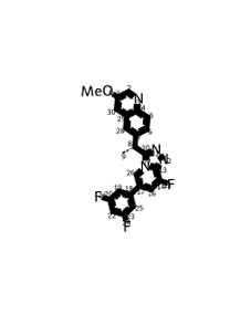 COc1cnc2ccc([C@@H](C)c3nnc4c(F)cc(-c5cc(F)cc(F)c5)cn34)cc2c1